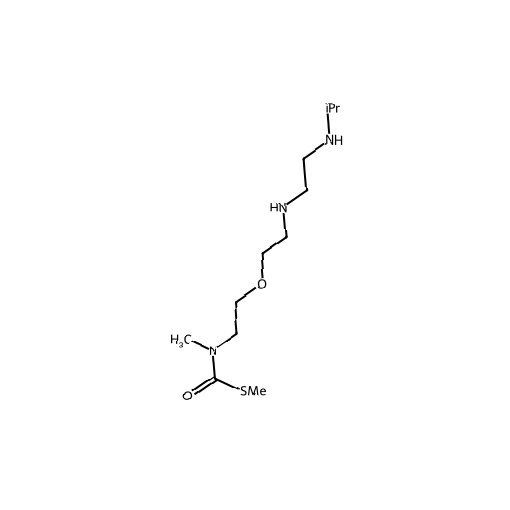 CSC(=O)N(C)CCOCCNCCNC(C)C